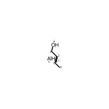 C/C=C/CO.[AlH3]